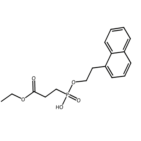 CCOC(=O)CCP(=O)(O)OCCc1cccc2ccccc12